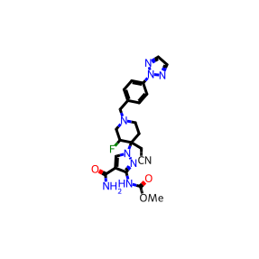 COC(=O)Nc1nn(C2(CC#N)CCN(Cc3ccc(-n4nccn4)cc3)CC2F)cc1C(N)=O